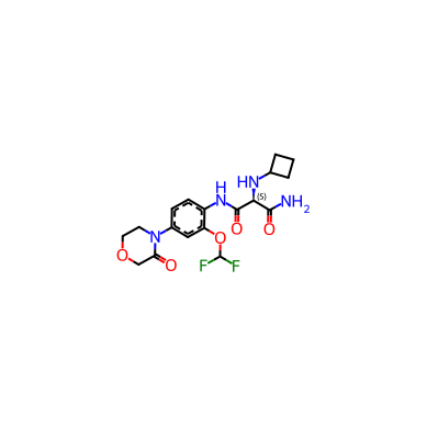 NC(=O)[C@H](NC1CCC1)C(=O)Nc1ccc(N2CCOCC2=O)cc1OC(F)F